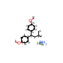 COc1ccc(C(CC(C)C)c2ccc(OC)cc2)cc1.Cl.N